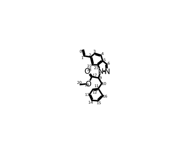 C=Cc1ccc2cnn(C(Cc3ccccc3)C(=O)OC)c2c1